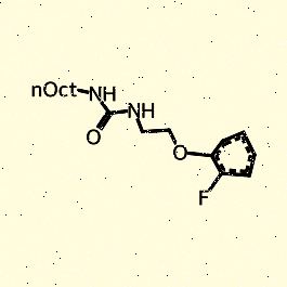 CCCCCCCCNC(=O)NCCOc1ccccc1F